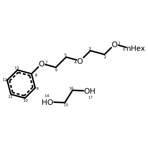 CCCCCCOCCOCCOc1ccccc1.OCCO